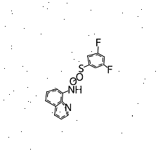 Fc1cc(F)cc(SOONc2cccc3cccnc23)c1